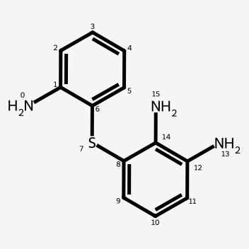 Nc1ccccc1Sc1cccc(N)c1N